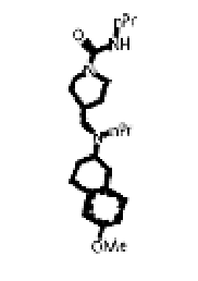 CCCNC(=O)N1CCC(CN(CCC)C2CCc3cc(OC)ccc3C2)CC1